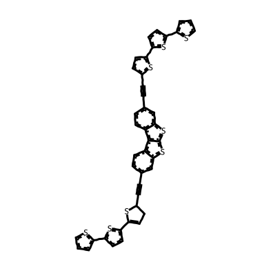 C(#Cc1ccc(-c2ccc(-c3cccs3)s2)s1)c1ccc2c(c1)sc1sc3cc(C#CC4CC=C(c5ccc(-c6cccs6)s5)S4)ccc3c12